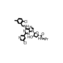 Cc1ccc(Cl)c(CNc2nc(-c3cncc(Cl)c3)nc3c2ncn3[C@@H]2O[C@H](C(=O)NC(C)C)C[C@H]2O)c1